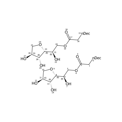 CCCCCCCCCCCC(=O)OC[C@@H](O)[C@H]1OC[C@H](O)[C@H]1O.CCCCCCCCCCCC(=O)OC[C@@H](O)[C@H]1OC[C@H](O)[C@H]1O